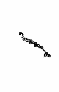 CCC1(COCCCCCCOc2ccc3cc(C(=O)Oc4ccc(C(=O)OC5CCC6(C)C(=CCC7C6CCC6(C)C(C(C)CCCC(C)C)CCC76)C5)cc4)ccc3c2)COC1